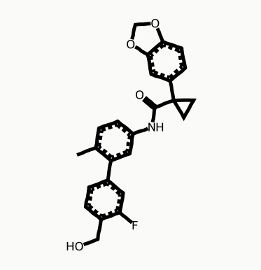 Cc1ccc(NC(=O)C2(c3ccc4c(c3)OCO4)CC2)cc1-c1ccc(CO)c(F)c1